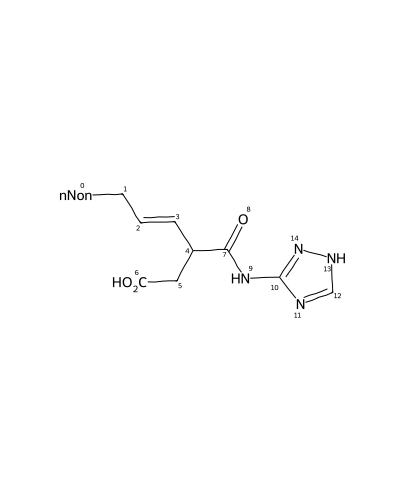 CCCCCCCCCCC=CC(CC(=O)O)C(=O)Nc1nc[nH]n1